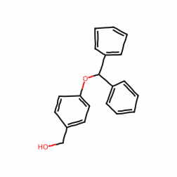 OCc1ccc(OC(c2ccccc2)c2ccccc2)cc1